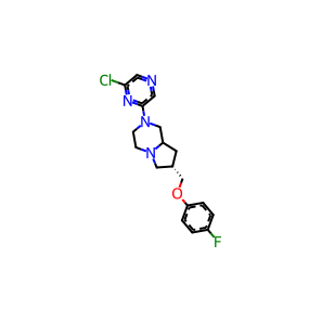 Fc1ccc(OC[C@H]2CC3CN(c4cncc(Cl)n4)CCN3C2)cc1